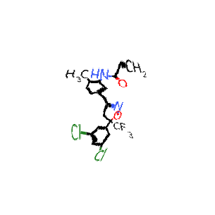 C=CC(=O)Nc1cc(C2=NOC(c3cc(Cl)cc(Cl)c3)(C(F)(F)F)C2)ccc1C